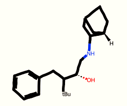 CC(C)(C)[C](Cc1ccccc1)[C@@H](O)CNC1CC2CC[C@H]1C2